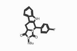 CCCCN1C(=O)C2Cc3c([nH]c4ccccc34)C(c3ccc(F)cc3)N2C1=O